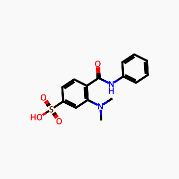 CN(C)c1cc(S(=O)(=O)O)ccc1C(=O)Nc1ccccc1